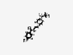 CCNC(=O)N1CCN(CCCC(=O)c2ccc(Br)cc2)CC1